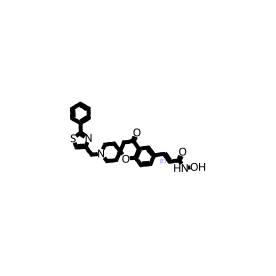 O=C(/C=C/c1ccc2c(c1)C(=O)CC1(CCN(Cc3csc(-c4ccccc4)n3)CC1)O2)NO